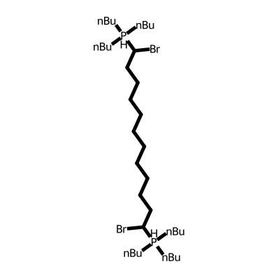 CCCC[PH](CCCC)(CCCC)C(Br)CCCCCCCCCCC(Br)[PH](CCCC)(CCCC)CCCC